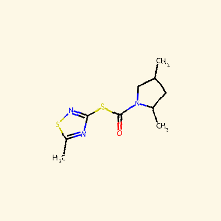 Cc1nc(SC(=O)N2CC(C)CC2C)ns1